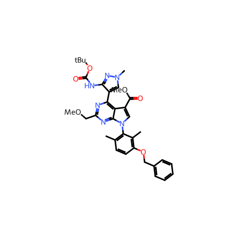 COCc1nc(-c2cn(C)nc2NC(=O)OC(C)(C)C)c2c(C(=O)OC)cn(-c3c(C)ccc(OCc4ccccc4)c3C)c2n1